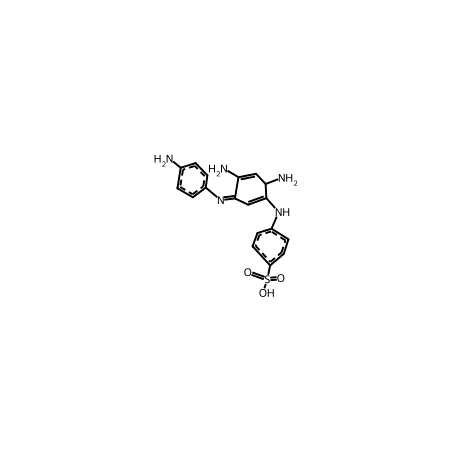 NC1=CC(N)C(Nc2ccc(S(=O)(=O)O)cc2)=C/C1=N/c1ccc(N)cc1